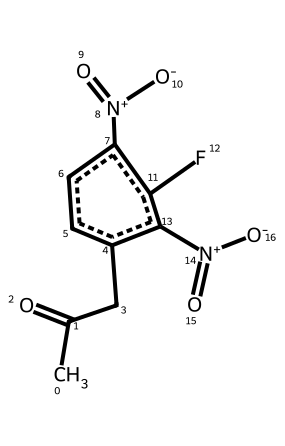 CC(=O)Cc1ccc([N+](=O)[O-])c(F)c1[N+](=O)[O-]